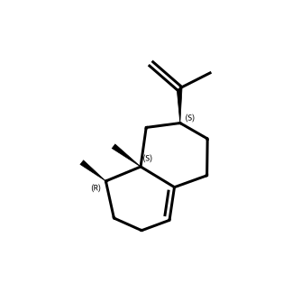 C=C(C)[C@H]1CCC2=CCC[C@@H](C)[C@]2(C)C1